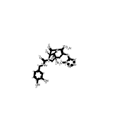 Cn1nnnc1SC1=C(C(=O)O)N2C(=O)[C@@H]3[C@H]2[C@H](C1)CN3C(=O)NCc1ccc(O)c(O)c1